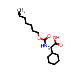 C=CCCCCCOC(=O)N[C@H](C(=O)O)C1CCCCC1